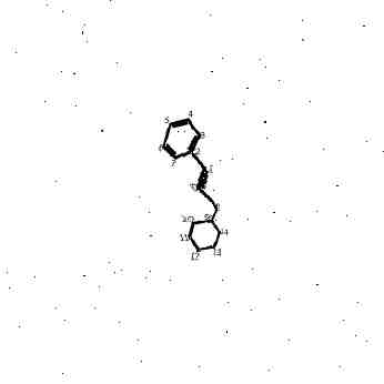 C(=Cc1ccccc1)CC1CCCCC1